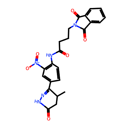 CC1CC(=O)NN=C1c1ccc(NC(=O)CCCN2C(=O)c3ccccc3C2=O)c([N+](=O)[O-])c1